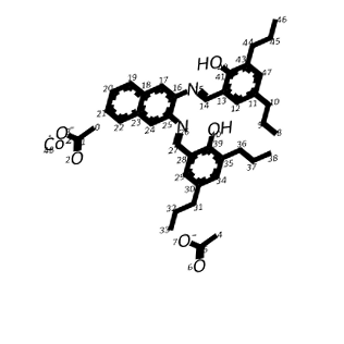 CC(=O)[O-].CC(=O)[O-].CCCc1cc(C=Nc2cc3ccccc3cc2N=Cc2cc(CCC)cc(CCC)c2O)c(O)c(CCC)c1.[Co+2]